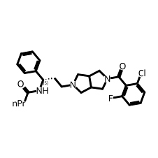 CCCC(=O)N[C@@H](CCN1CC2CN(C(=O)c3c(F)cccc3Cl)CC2C1)c1ccccc1